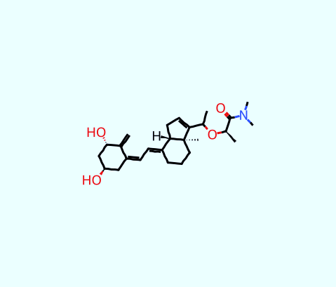 C=C1/C(=C\C=C2/CCC[C@]3(C)C(C(C)O[C@H](C)C(=O)N(C)C)=CC[C@@H]23)C[C@@H](O)C[C@@H]1O